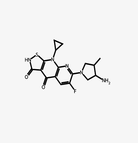 CC1CN(c2nc3c(cc2F)c(=O)c2c(=O)[nH]sc2n3C2CC2)CC1N